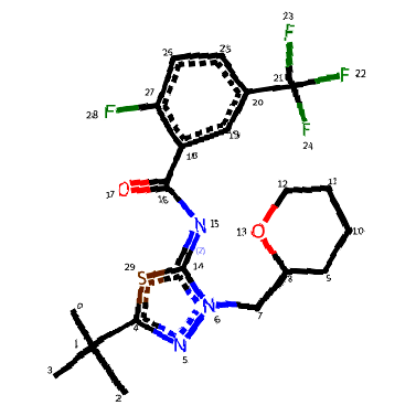 CC(C)(C)c1nn(CC2CCCCO2)/c(=N/C(=O)c2cc(C(F)(F)F)ccc2F)s1